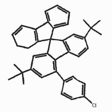 CC(C)(C)c1ccc2c(c1)C1(C3=C(C=CCC3)c3ccccc31)c1cc(C(C)(C)C)cc(-c3ccc(Cl)cc3)c1-2